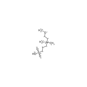 COCC[N+](C)(C)CCCS(=O)(=O)O